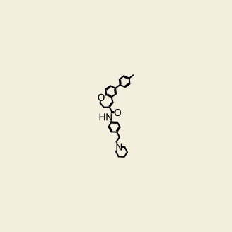 Cc1ccc(-c2ccc3c(c2)C=C(C(=O)Nc2ccc(CCN4CCCCC4)cc2)CCO3)cc1